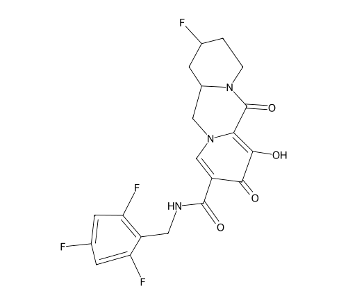 O=C(NCc1c(F)cc(F)cc1F)c1cn2c(c(O)c1=O)C(=O)N1CCC(F)CC1C2